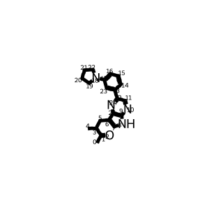 CC(=O)C(C)Cc1c[nH]c2ncc(-c3cccc(N4CCCC4)c3)nc12